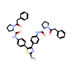 Cc1nc(-c2ccc(NC(=O)[C@@H]3CCCN3C(=O)Cc3ccccc3)cc2)c(-c2ccc(NC(=O)[C@@H]3CCCN3C(=O)Cc3ccccc3)cc2)s1